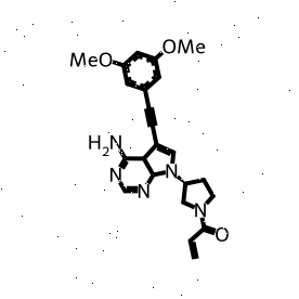 C=CC(=O)N1CC[C@H](N2C=C(C#Cc3cc(OC)cc(OC)c3)C3C(N)=NC=NC32)C1